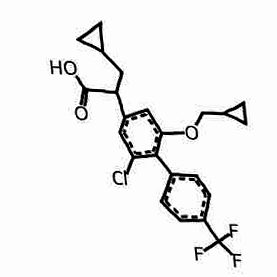 O=C(O)C(CC1CC1)c1cc(Cl)c(-c2ccc(C(F)(F)F)cc2)c(OCC2CC2)c1